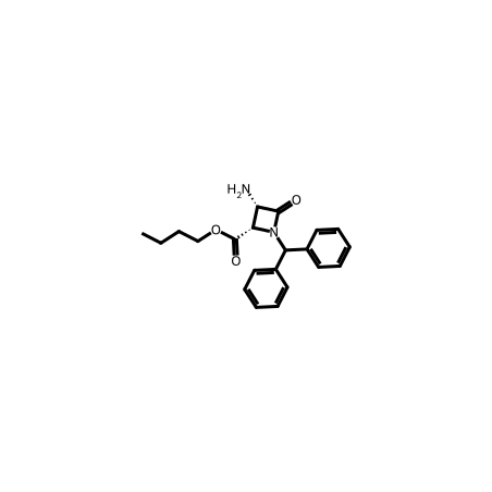 CCCCOC(=O)[C@@H]1[C@H](N)C(=O)N1C(c1ccccc1)c1ccccc1